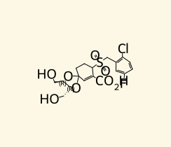 O=C(O)C1=CC2(CCC1S(=O)(=O)Cc1cc(F)ccc1Cl)O[C@H](CO)[C@@H](CO)O2